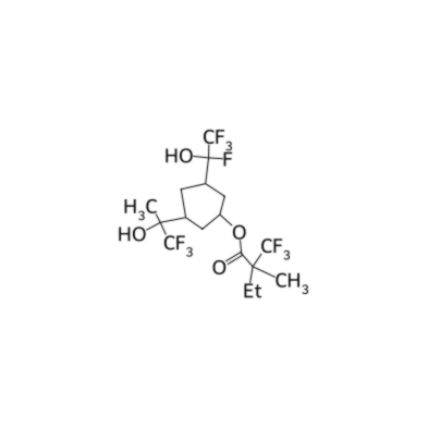 CCC(C)(C(=O)OC1CC(C(C)(O)C(F)(F)F)CC(C(O)(F)C(F)(F)F)C1)C(F)(F)F